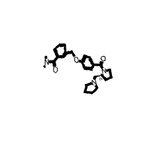 CN(C)C(=O)c1cccc(COc2ccc(C(=O)N3CCC[C@H]3CN3CCCC3)cc2)c1